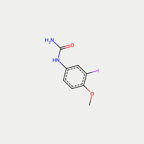 COc1ccc(NC(N)=O)cc1I